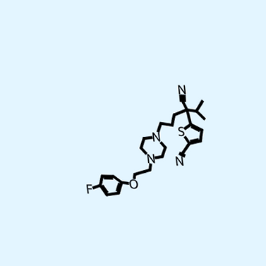 CC(C)C(C#N)(CCCN1CCN(CCOc2ccc(F)cc2)CC1)c1ccc(C#N)s1